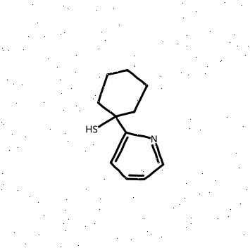 SC1(c2ccccn2)CCCCC1